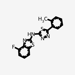 Cc1ccccc1-c1nnc(Nc2nc3c(F)cccc3s2)s1